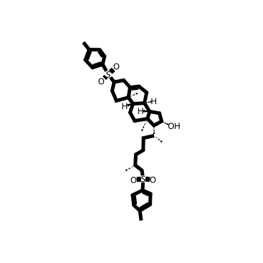 Cc1ccc(S(=O)(=O)C[C@H](C)CCC[C@@H](C)[C@H]2[C@@H](O)C[C@H]3[C@@H]4CC=C5CC(S(=O)(=O)c6ccc(C)cc6)CC[C@]5(C)[C@H]4CC[C@]23C)cc1